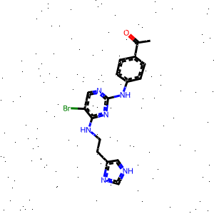 CC(=O)c1ccc(Nc2ncc(Br)c(NCCc3c[nH]cn3)n2)cc1